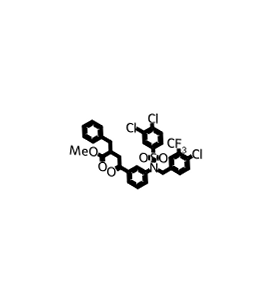 COC(=O)C(CC(=O)c1cccc(N(Cc2ccc(Cl)c(C(F)(F)F)c2)S(=O)(=O)c2ccc(Cl)c(Cl)c2)c1)Cc1ccccc1